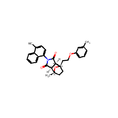 Cc1cccc(OCC[C@@]23CC[C@@](C)(O2)[C@H]2C(=O)N(c4ccc(C#N)c5ccccc45)C(=O)[C@H]23)c1